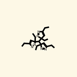 CCC1=CC(CC)([C](C2(CC)C=C(CC)N=N2)C2(CC)C=C(CC)N=N2)N=N1